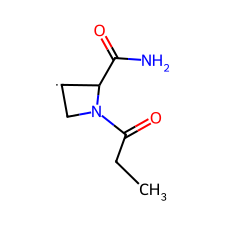 CCC(=O)N1C[CH]C1C(N)=O